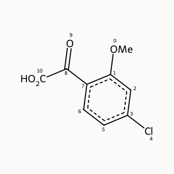 COc1cc(Cl)ccc1C(=O)C(=O)O